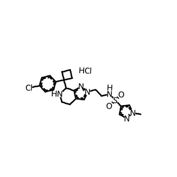 Cl.Cn1cc(S(=O)(=O)NCCn2cc3c(n2)C(C2(c4ccc(Cl)cc4)CCC2)NCC3)cn1